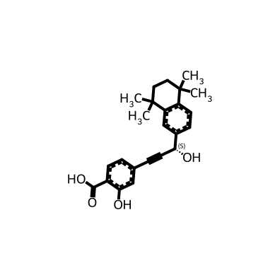 CC1(C)CCC(C)(C)c2cc([C@H](O)C#Cc3ccc(C(=O)O)c(O)c3)ccc21